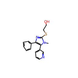 Cn1c(SCCO)nc(-c2ccccc2)c1-c1cccnc1